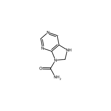 NC(=O)N1CNc2[c]ncnc21